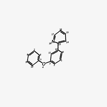 [c]1ccc(Oc2ccccc2)cc1-c1ccccn1